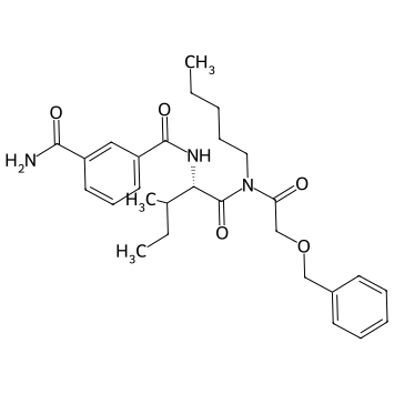 CCCCCN(C(=O)COCc1ccccc1)C(=O)[C@@H](NC(=O)c1cccc(C(N)=O)c1)C(C)CC